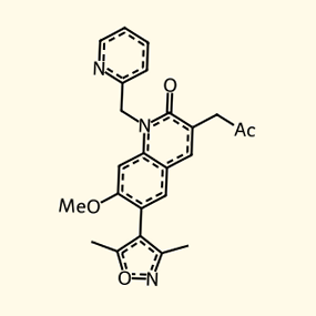 COc1cc2c(cc1-c1c(C)noc1C)cc(CC(C)=O)c(=O)n2Cc1ccccn1